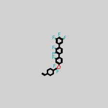 C=CC1CCC(C(F)(F)Oc2ccc(-c3ccc(-c4cc(F)c(F)c(F)c4)c(F)c3F)c(F)c2)CC1